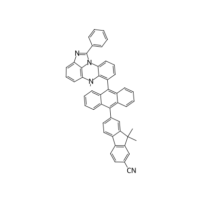 CN1c2c(-c3c4ccccc4c(-c4ccc5c(c4)C(C)(C)c4cc(C#N)ccc4-5)c4ccccc34)cccc2-n2c(-c3ccccc3)nc3cccc1c32